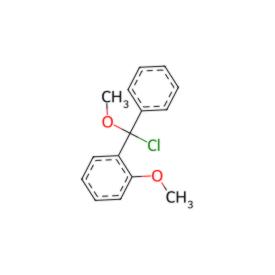 COc1ccccc1C(Cl)(OC)c1ccccc1